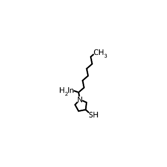 CCCCCCC[CH]([InH2])N1CCC(S)C1